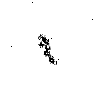 O=C(O)c1cc2c(nc(CN3CC=C(c4cccc(OCc5ccc(Cl)cc5F)n4)CC3)n2CC2CCO2)o1